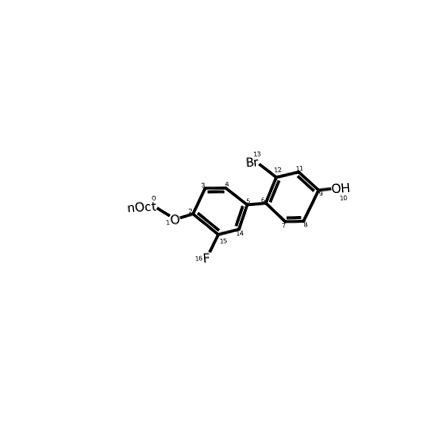 CCCCCCCCOc1ccc(-c2ccc(O)cc2Br)cc1F